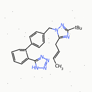 CC=CCc1nc(C(C)(C)C)nn1Cc1ccc(-c2ccccc2-c2nnn[nH]2)cc1